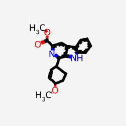 COC(=O)c1cc2c([nH]c3ccccc32)c(C2C=CC(OC)CC2)n1